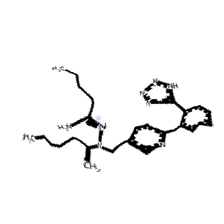 C=C(CCCC)N(Cc1ccc(-c2ccccc2-c2nnn[nH]2)nc1)/N=C(\N)CCCC